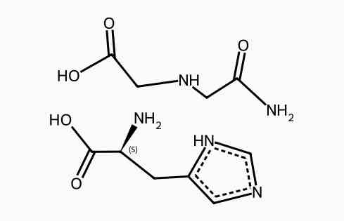 NC(=O)CNCC(=O)O.N[C@@H](Cc1cnc[nH]1)C(=O)O